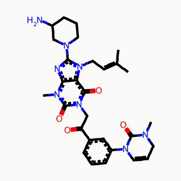 CC(C)=CCn1c(N2CCCC(N)C2)nc2c1c(=O)n(CC(=O)c1cccc(N3C=CCN(C)C3=O)c1)c(=O)n2C